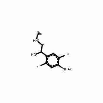 CC(=O)Nc1cc(F)c(C(O)CNC(C)(C)C)cc1F